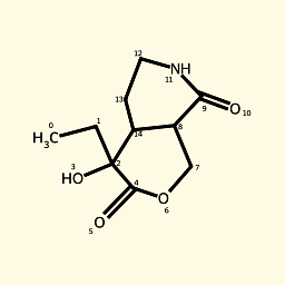 CCC1(O)C(=O)OCC2C(=O)NCCC21